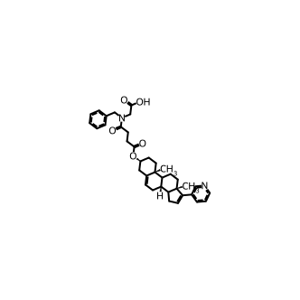 C[C@]12CC[C@H](OC(=O)CCC(=O)N(CC(=O)O)Cc3ccccc3)CC1=CC[C@@H]1C2CC[C@]2(C)C(c3cccnc3)=CCC12